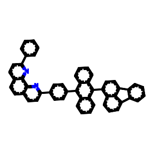 c1ccc(-c2ccc3ccc4ccc(-c5ccc(-c6c7ccccc7c(-c7ccc8c9c(cccc79)-c7ccccc7-8)c7ccccc67)cc5)nc4c3n2)cc1